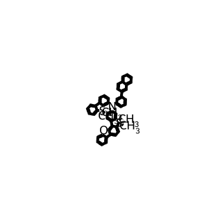 CS1(C)c2cc(N(c3cccc(-c4ccc5ccccc5c4)c3)c3cccc4c3S(C)(C)c3ccccc3-4)ccc2-c2c1ccc1c2oc2ccccc21